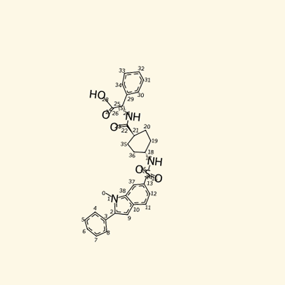 Cn1c(-c2ccccc2)cc2ccc(S(=O)(=O)N[C@H]3CC[C@H](C(=O)N[C@H](C(=O)O)c4ccccc4)CC3)cc21